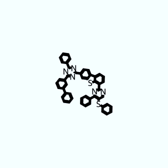 c1ccc(Sc2cnc(-c3cccc4c3sc3cc(-c5nc(-c6ccccc6)nc(-c6cccc(-c7ccccc7)c6)n5)ccc34)nc2-c2ccccc2)cc1